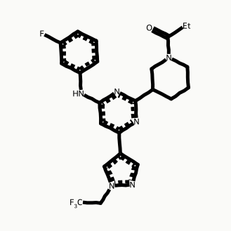 CCC(=O)N1CCCC(c2nc(Nc3cccc(F)c3)cc(-c3cnn(CC(F)(F)F)c3)n2)C1